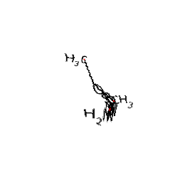 CCCCCCCCCCCCCCCCOCCC/P(=S)=C/OC(C)Cn1cnc2c(N)ncnc21